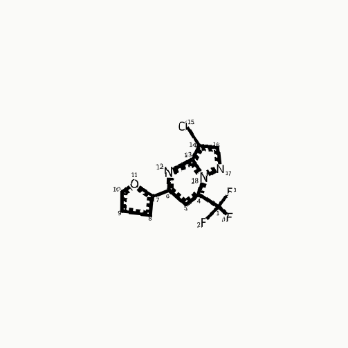 FC(F)(F)c1cc(-c2ccco2)nc2c(Cl)cnn12